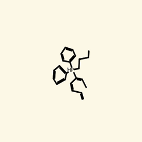 C=C/C=C\C(=C/C)[PH](CCCC)(c1ccccc1)c1ccccc1